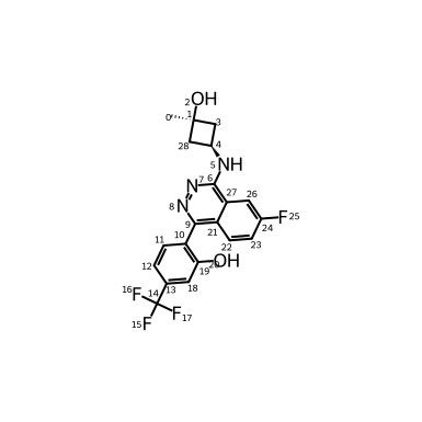 C[C@]1(O)C[C@@H](Nc2nnc(-c3ccc(C(F)(F)F)cc3O)c3ccc(F)cc23)C1